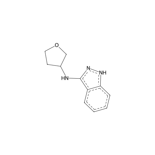 c1ccc2c(NC3CCOC3)n[nH]c2c1